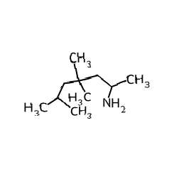 CC(C)CC(C)(C)CC(C)N